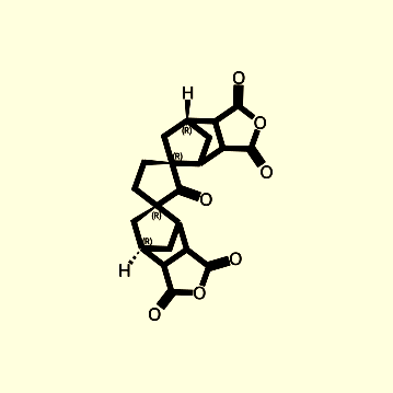 O=C1OC(=O)C2C1C1C[C@@H]2C[C@]12CC[C@]1(C[C@H]3CC1C1C(=O)OC(=O)C13)C2=O